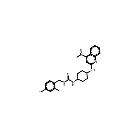 CN(C)c1cc(NC2CCC(NC(=O)NCc3ccc(Cl)cc3Cl)CC2)nc2ccccc12